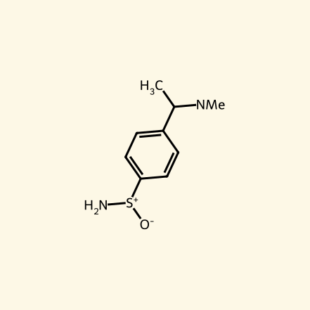 CNC(C)c1ccc([S+](N)[O-])cc1